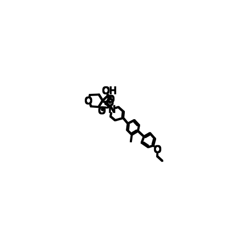 CCOc1ccc(-c2ccc(C3=CCN(S(=O)(=O)C4(C(=O)O)CCOCC4)CC3)cc2C)cc1